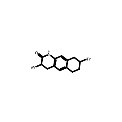 CC(C)C1CCc2cc3c(cc2C1)NC(=O)C(C(C)C)C3